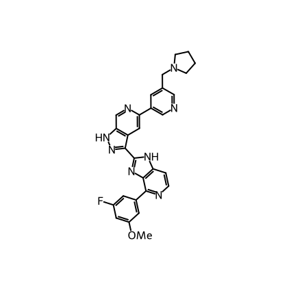 COc1cc(F)cc(-c2nccc3[nH]c(-c4n[nH]c5cnc(-c6cncc(CN7CCCC7)c6)cc45)nc23)c1